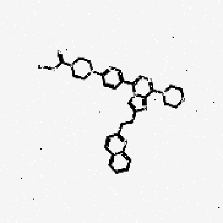 CC(C)(C)OC(=O)N1CCN(c2ccc(-c3cnc(N4CCOCC4)c4nc(CCc5ccc6ccccc6n5)cn34)cn2)CC1